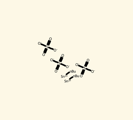 CCC[CH2][Sn+3].CCC[CH2][Sn+3].O=S(=O)([O-])[O-].O=S(=O)([O-])[O-].O=S(=O)([O-])[O-]